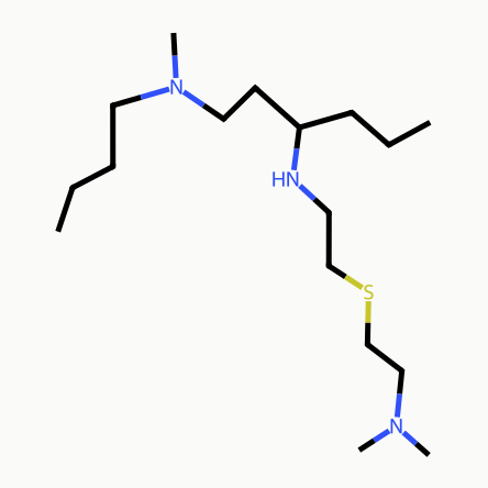 CCCCN(C)CCC(CCC)NCCSCCN(C)C